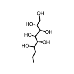 CCCC(O)[C@H](O)[C@@H](O)[C@H](O)[C@H](O)CO